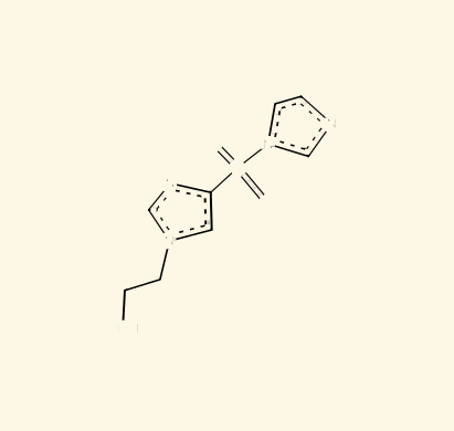 O=S(=O)(c1cn(CCO)cn1)n1ccnc1